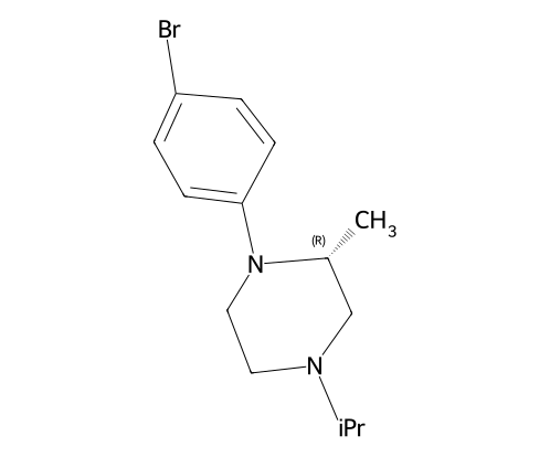 CC(C)N1CCN(c2ccc(Br)cc2)[C@H](C)C1